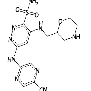 N#Cc1cnc(Nc2cc(NCC3CNCCO3)c(S(N)(=O)=O)nn2)cn1